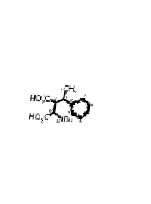 CC(c1ccccc1)C(C(=O)O)C(C(=O)O)C(C)(C)C